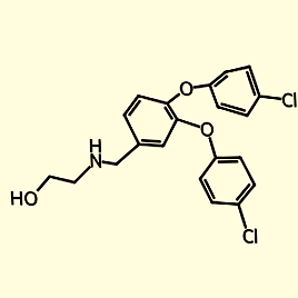 OCCNCc1ccc(Oc2ccc(Cl)cc2)c(Oc2ccc(Cl)cc2)c1